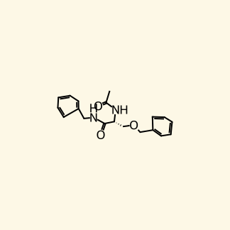 CC(=O)N[C@H](COCc1ccccc1)C(=O)NCc1ccccc1